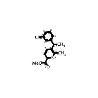 COC(=O)C1C=CC(C(C)c2cccc(Cl)c2)=C(C)S1